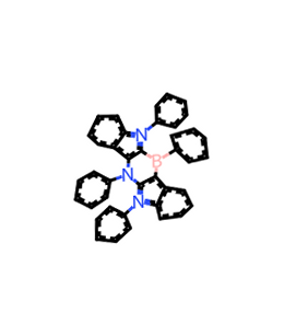 c1ccc(B2c3c(n(-c4ccccc4)c4ccccc34)N(c3ccccc3)c3c2n(-c2ccccc2)c2ccccc32)cc1